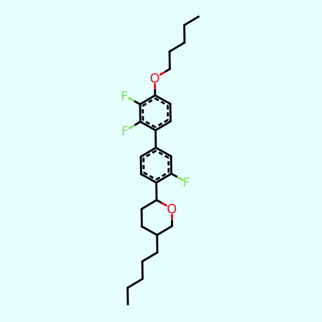 CCCCCOc1ccc(-c2ccc(C3CCC(CCCCC)CO3)c(F)c2)c(F)c1F